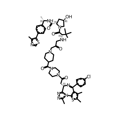 Cc1ncsc1-c1ccc([C@H](C)NC(=O)[C@@H]2C[C@@H](O)CN2C(=O)[C@@H](NCC(=O)CN2CCC(C(=O)N3CCN(C(=O)C[C@@H]4N=C(c5ccc(Cl)cc5)c5c(sc(C)c5C)-n5c(C)nnc54)CC3)CC2)C(C)(C)C)cc1